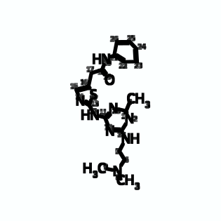 Cc1nc(NCCN(C)C)nc(Nc2ncc(CC(=O)Nc3ccccc3)s2)n1